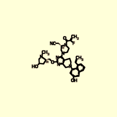 C=Cc1cccc2cc(O)cc(N3CCc4c(nc(OC[C@@H]5CC(O)CN5C)nc4N4CCN(C(=O)C(=C)F)[C@@H](CC#N)C4)C3)c12